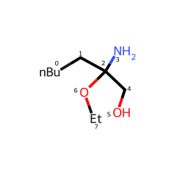 CCCCCC(N)(CO)OCC